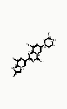 Cc1cn2cc(-c3nc(=O)n4cc(N5CCN[C@@H](C)C5)cc(F)c4n3)cc(C)c2n1